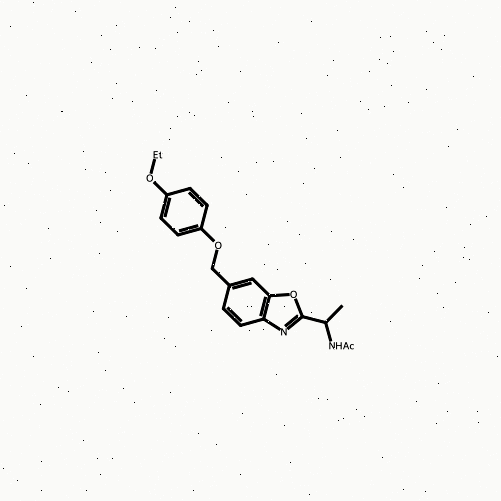 CCOc1ccc(OCc2ccc3nc(C(C)NC(C)=O)oc3c2)cc1